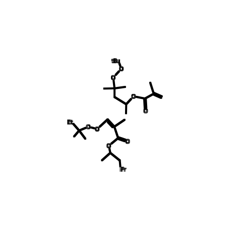 C=C(C)C(=O)OC(C)CC(C)(C)OOC(C)(C)C.CCC(C)(C)OOC=C(C)C(=O)OC(C)CC(C)C